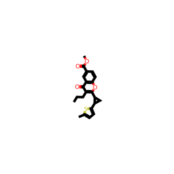 CCCc1c(C2CC2c2ccc(C)s2)oc2ccc(C(=O)OC)cc2c1=O